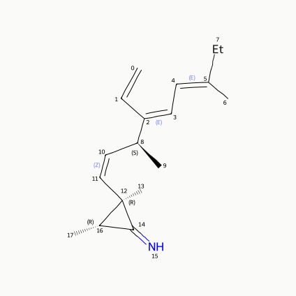 C=C/C(=C\C=C(/C)CC)[C@@H](C)/C=C\[C@@]1(C)C(=N)[C@@H]1C